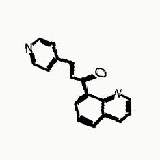 O=C(C=Cc1ccncc1)c1cccc2cccnc12